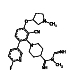 CN1CCC(Oc2ccc(-c3ccc(F)nc3)c(N3CCC(C(=N)N(C)C=N)CC3)c2C#N)C1